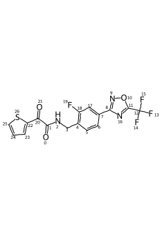 O=C(NCc1ccc(-c2noc(C(F)(F)F)n2)cc1F)C(=O)c1cccs1